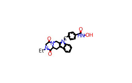 CCN1CC(=O)N2Cc3c(c4ccccc4n3Cc3ccc(C(=O)NO)cc3)CC2C1=O